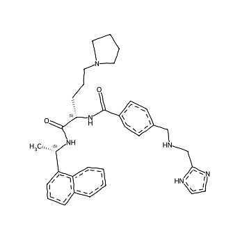 C[C@H](NC(=O)[C@H](CCCN1CCCC1)NC(=O)c1ccc(CNCc2ncc[nH]2)cc1)c1cccc2ccccc12